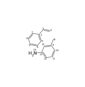 C=Cc1ccccc1.Cc1cccc(N)c1